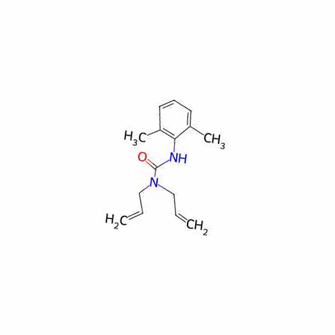 C=CCN(CC=C)C(=O)Nc1c(C)cccc1C